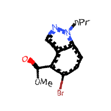 CCCn1ncc2c(C(=O)OC)c(Br)ccc21